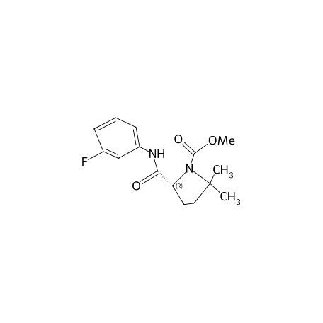 COC(=O)N1[C@@H](C(=O)Nc2cccc(F)c2)CCC1(C)C